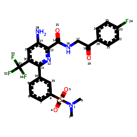 CN(C)S(=O)(=O)c1cccc(-c2nc(C(=O)NCC(=O)c3ccc(F)cc3)c(N)cc2C(F)(F)F)c1